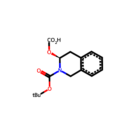 CC(C)(C)OC(=O)N1Cc2ccccc2C[C@@H]1OC(=O)O